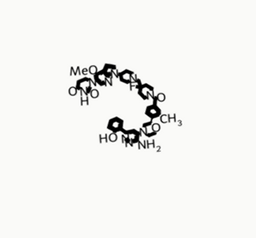 COc1c(N2CCC(=O)NC2=O)cnc2c1ccn2C1CCN(CC2(F)CCN(C(=O)c3ccc([C@@H]4CN(c5cc(-c6ccccc6O)nnc5N)CCO4)c(C)c3)CC2)CC1